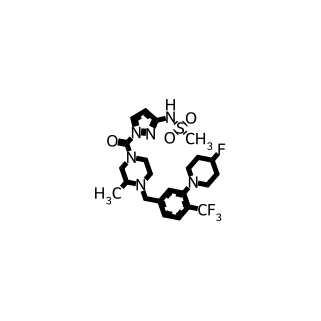 CC1CN(C(=O)n2ccc(NS(C)(=O)=O)n2)CCN1Cc1ccc(C(F)(F)F)c(N2CCC(F)CC2)c1